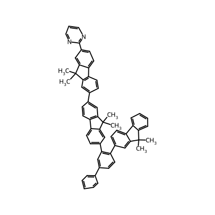 CC1(C)c2cc(-c3ccc4c(c3)C(C)(C)c3cc(-c5cc(-c6ccccc6)ccc5-c5ccc6c(c5)C(C)(C)c5ccccc5-6)ccc3-4)ccc2-c2ccc(-c3ncccn3)cc21